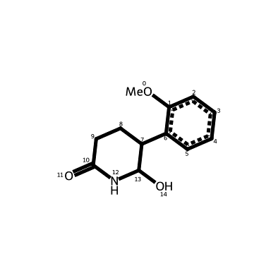 COc1ccccc1C1CCC(=O)NC1O